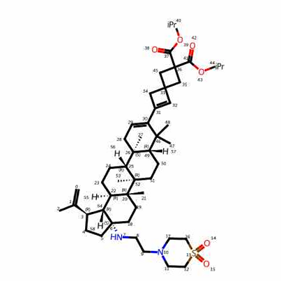 C=C(C)[C@@H]1CC[C@]2(NCCN3CCS(=O)(=O)CC3)CC[C@]3(C)[C@H](CC[C@@H]4[C@@]5(C)CC=C(C6=CC7(C6)CC(C(=O)OC(C)C)(C(=O)OC(C)C)C7)C(C)(C)[C@@H]5CC[C@]43C)[C@@H]12